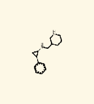 c1ccc([C@H]2C[C@@H]2NCC2CCCNC2)cc1